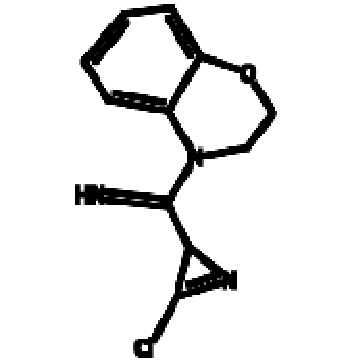 N=C(C1N=C1Cl)N1CCOc2ccccc21